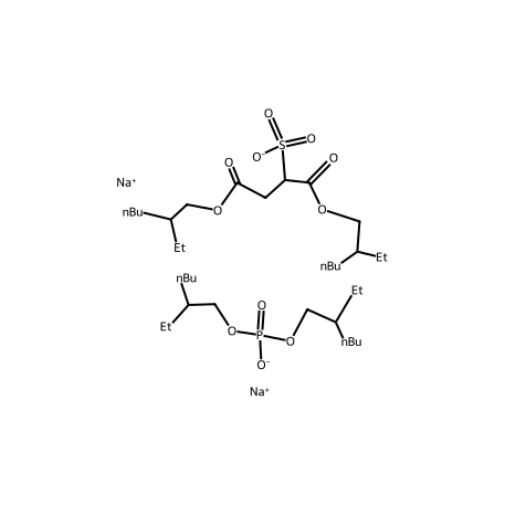 CCCCC(CC)COC(=O)CC(C(=O)OCC(CC)CCCC)S(=O)(=O)[O-].CCCCC(CC)COP(=O)([O-])OCC(CC)CCCC.[Na+].[Na+]